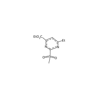 CCOC(=O)c1cc(CC)nc(S(C)(=O)=O)n1